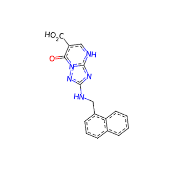 O=C(O)c1c[nH]c2nc(NCc3cccc4ccccc34)nn2c1=O